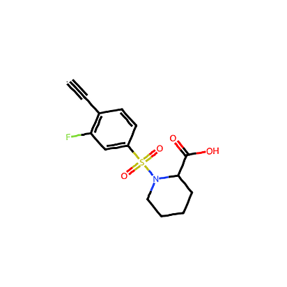 [C]#Cc1ccc(S(=O)(=O)N2CCCCC2C(=O)O)cc1F